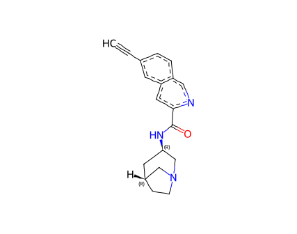 C#Cc1ccc2cnc(C(=O)N[C@@H]3C[C@H]4CCN(C4)C3)cc2c1